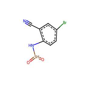 N#Cc1cc(Br)ccc1N[SH](=O)=O